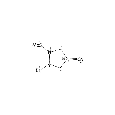 CCC1C[C@H](C#N)CN1SC